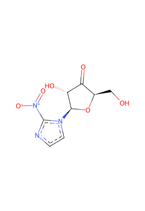 O=C1[C@@H](O)[C@H](n2ccnc2[N+](=O)[O-])O[C@@H]1CO